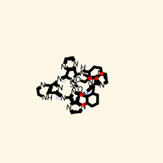 CC1CCCC(C)C1CO[Si]1(OCC2C(C)CCCC2C)N2/C3=N\C4=NC(=N\c5c6nccnc6c(n51)/N=C1\N=C(NC2c2nccnc23)c2nccnc21)/C1=C4N=CCN1